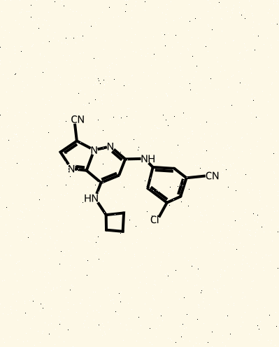 N#Cc1cc(Cl)cc(Nc2cc(NC3CCC3)c3ncc(C#N)n3n2)c1